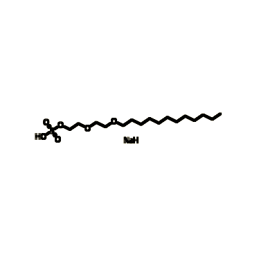 CCCCCCCCCCCCOCCOCCOS(=O)(=O)O.[NaH]